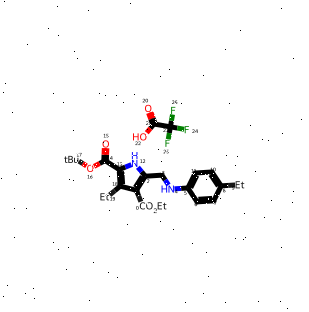 CCOC(=O)c1c(CNc2ccc(CC)cc2)[nH]c(C(=O)OC(C)(C)C)c1CC.O=C(O)C(F)(F)F